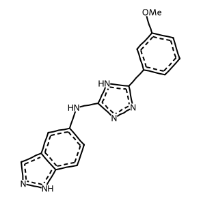 COc1cccc(-c2nnc(Nc3ccc4[nH]ncc4c3)[nH]2)c1